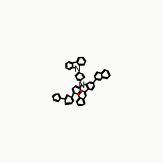 c1ccc(-c2cccc(-c3ccc(N(c4ccc(-n5c6ccccc6c6ccccc65)cc4)c4cc(-c5ccc6ccccc6c5)ccc4-c4ccc5ccccc5c4)cc3)c2)cc1